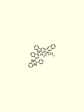 CC1(C)c2cc3ccccc3cc2-c2cc3c4ccccc4n(-c4ccc(-c5nc6ccccc6nc5-c5ccccc5)c5ccccc45)c3cc21